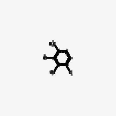 Cc1ccc(Cl)c(C(C)(C)C)c1Cl